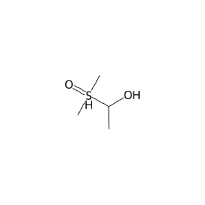 CC(O)[SH](C)(C)=O